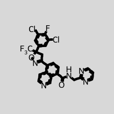 O=C(NCc1ncccn1)c1ccc(C2=NOC(c3cc(Cl)c(F)c(Cl)c3)(C(F)(F)F)C2)c2ccncc12